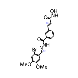 COc1cc(Br)c(/C=N/NC(=O)c2cccc(/C=C/C(=O)NO)c2)cc1OC